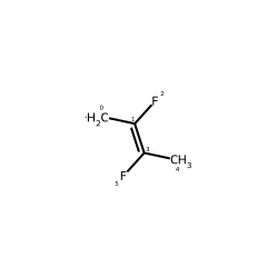 [CH2]C(F)=C(C)F